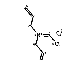 C=CC[N+](=CCl)CC=C.[Cl-]